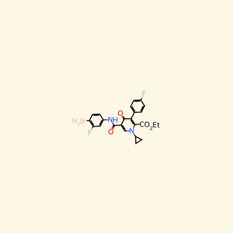 Bc1ccc(NC(=O)c2cn(C3CC3)c(C(=O)OCC)c(-c3ccc(F)cc3)c2=O)cc1F